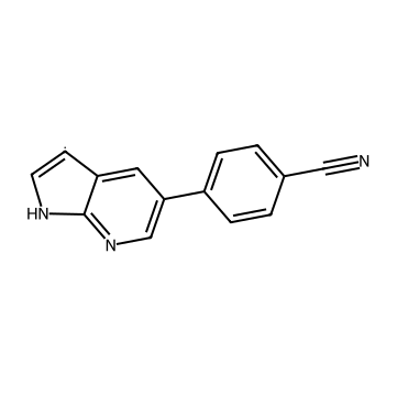 N#Cc1ccc(-c2cnc3[nH]c[c]c3c2)cc1